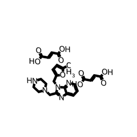 Cc1ccc(Cn2c(CN3CCNCC3)nc3cccnc32)o1.O=C(O)C=CC(=O)O.O=C(O)C=CC(=O)O